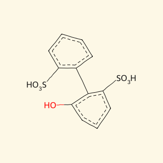 O=S(=O)(O)c1ccccc1-c1c(O)cccc1S(=O)(=O)O